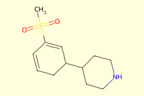 CS(=O)(=O)C1=CC(C2CCNCC2)CC=C1